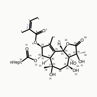 C/C=C(/C)C(=O)O[C@H]1C(C)=C2[C@H]([C@@H]1OC(=O)CCCCCCC)[C@@](C)(O)C[C@H](O)[C@@]1(O)[C@H]2OC(=O)[C@@]1(C)O